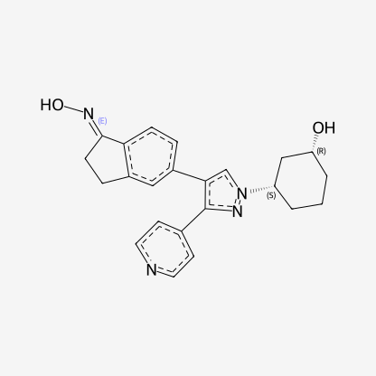 O/N=C1\CCc2cc(-c3cn([C@H]4CCC[C@@H](O)C4)nc3-c3ccncc3)ccc21